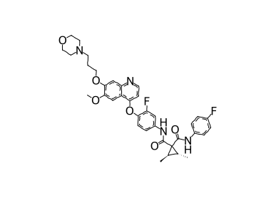 COc1cc2c(Oc3ccc(NC(=O)C4(C(=O)Nc5ccc(F)cc5)[C@H](C)[C@H]4C)cc3F)ccnc2cc1OCCCN1CCOCC1